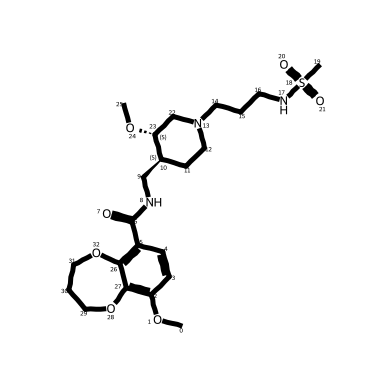 COc1ccc(C(=O)NC[C@@H]2CCN(CCCNS(C)(=O)=O)C[C@H]2OC)c2c1OCCCO2